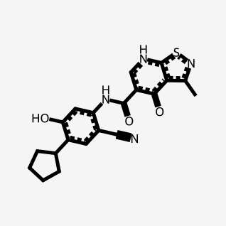 Cc1nsc2[nH]cc(C(=O)Nc3cc(O)c(C4CCCC4)cc3C#N)c(=O)c12